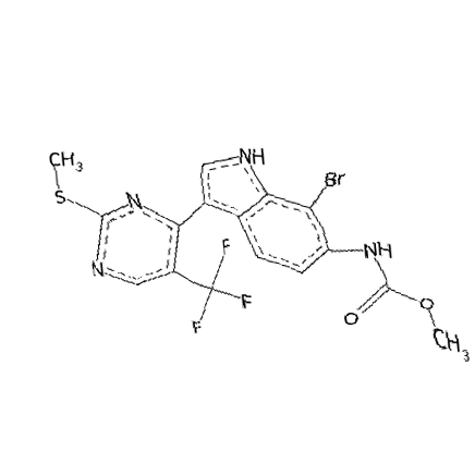 COC(=O)Nc1ccc2c(-c3nc(SC)ncc3C(F)(F)F)c[nH]c2c1Br